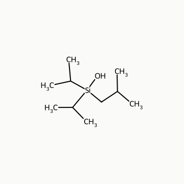 CC(C)C[Si](O)(C(C)C)C(C)C